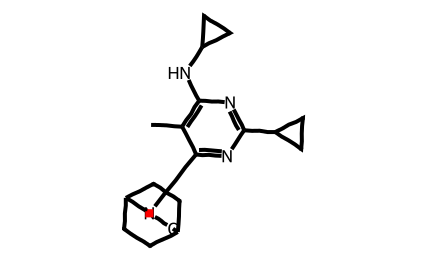 Cc1c(NC2CC2)nc(C2CC2)nc1N1CC2CCC(CC2)C1